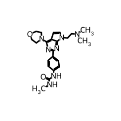 CNC(=O)Nc1ccc(-c2nc(N3CCOCC3)c3ccn(CCN(C)C)c3n2)cc1